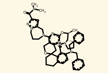 C[C@H](Oc1nc2c(c(N3CCCn4nc(C(=O)N(C)C)cc4C3)n1)COC1(CCCc3ccc(N(Cc4ccccc4)Cc4ccccc4)c(C#N)c31)C2)[C@@H]1CCCN1C